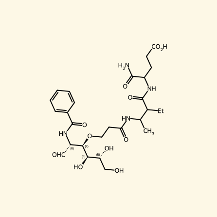 CCC(C(=O)NC(CCC(=O)O)C(N)=O)C(C)NC(=O)CCO[C@@H]([C@H](O)[C@H](O)CO)[C@H](C=O)NC(=O)c1ccccc1